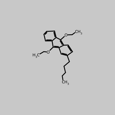 CCCCCc1ccc2c(OCC)c3ccccc3c(OCC)c2c1